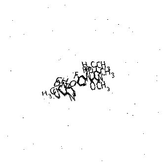 COc1cc2nccc(Oc3ccc(NC(=O)c4c(C)nc(C)c(C(C)C)c4O)cc3F)c2nc1OC